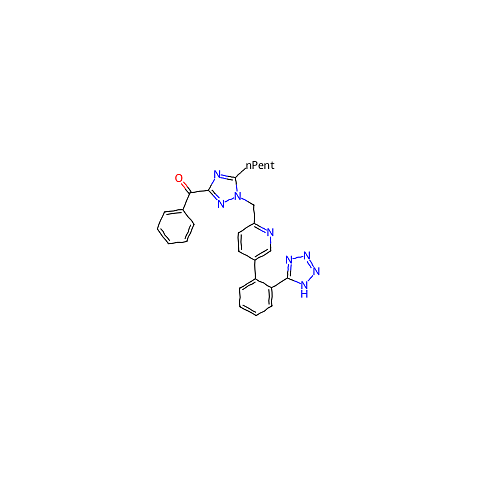 CCCCCc1nc(C(=O)c2ccccc2)nn1Cc1ccc(-c2ccccc2-c2nnn[nH]2)cn1